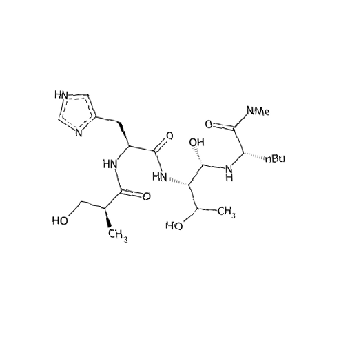 CCCC[C@H](N[C@@H](O)[C@@H](NC(=O)[C@H](Cc1c[nH]cn1)NC(=O)[C@@H](C)CO)C(C)O)C(=O)NC